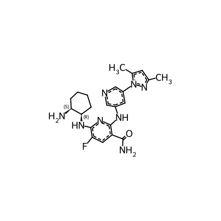 Cc1cc(C)n(-c2cncc(Nc3nc(N[C@@H]4CCCC[C@@H]4N)c(F)cc3C(N)=O)c2)n1